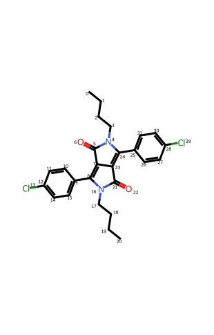 CCCCN1C(=O)C2=C(c3ccc(Cl)cc3)N(CCCC)C(=O)C2=C1c1ccc(Cl)cc1